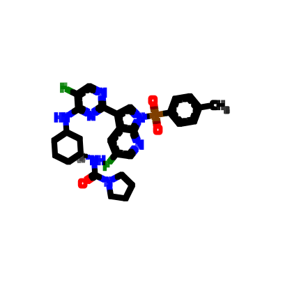 Cc1ccc(S(=O)(=O)n2cc(-c3ncc(F)c(NC4CCC[C@@H](NC(=O)N5CCCC5)C4)n3)c3cc(F)cnc32)cc1